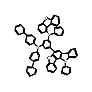 c1ccc(-c2ccc(N(c3ccc(-c4ccccc4)cc3)c3cc(-c4cc5c6ccccc6n(-c6ccccc6)c5c5c4oc4ccccc45)cc(N(c4ccccc4)c4cccc5oc6ccccc6c45)c3)cc2)cc1